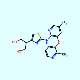 Cc1ncccc1Oc1cc(C(F)(F)F)cnc1Nc1nc(C(CO)CO)cs1